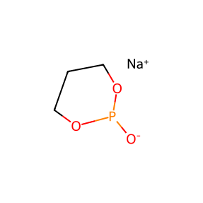 [Na+].[O-]P1OCCCO1